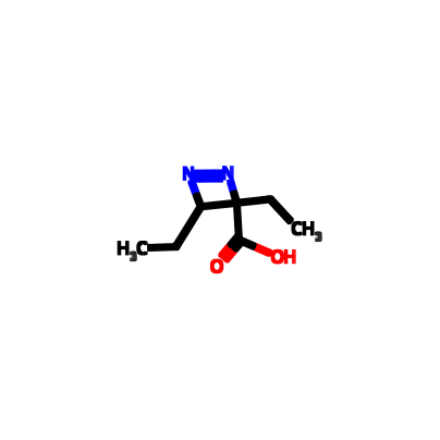 CCC1N=NC1(CC)C(=O)O